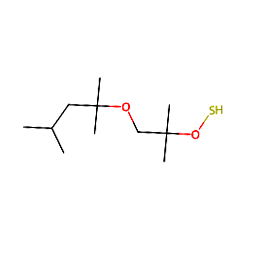 CC(C)CC(C)(C)OCC(C)(C)OS